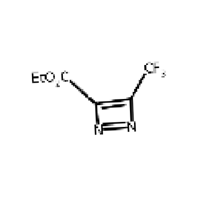 CCOC(=O)C1=C(C(F)(F)F)N=N1